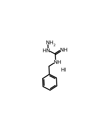 I.N=C(NN)NCc1ccccc1